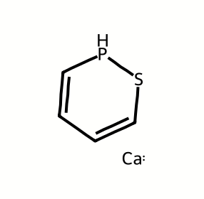 C1=CPSC=C1.[Ca]